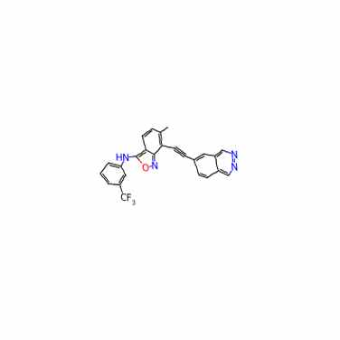 Cc1ccc2c(Nc3cccc(C(F)(F)F)c3)onc2c1C#Cc1ccc2cnncc2c1